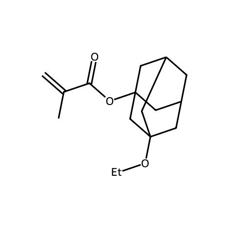 C=C(C)C(=O)OC12CC3CC(CC(OCC)(C3)C1)C2